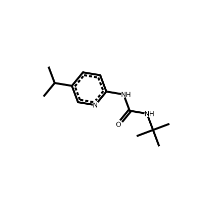 CC(C)c1ccc(NC(=O)NC(C)(C)C)nc1